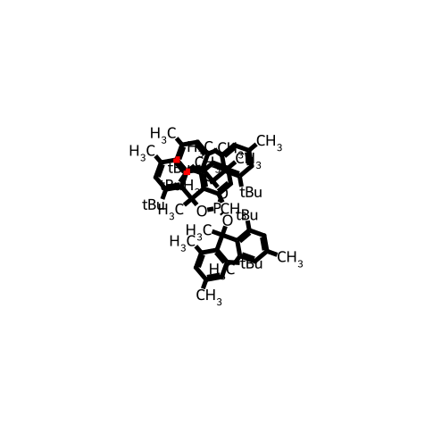 Cc1cc(C)c(C(C)(OP(OC(C)(c2c(C)cc(C)cc2C(C)(C)C)c2c(C)cc(C)cc2C(C)(C)C)OC(C)(c2c(C)cc(C)cc2C(C)(C)C)c2c(C)cc(C)cc2C(C)(C)C)c2c(C)cc(C)cc2C(C)(C)C)c(C(C)(C)C)c1